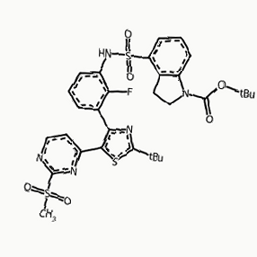 CC(C)(C)OC(=O)N1CCc2c1cccc2S(=O)(=O)Nc1cccc(-c2nc(C(C)(C)C)sc2-c2ccnc(S(C)(=O)=O)n2)c1F